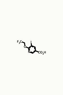 O=C(O)c1cnc(OCC(F)(F)F)c(I)c1